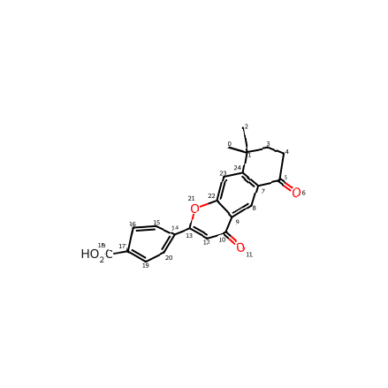 CC1(C)CCC(=O)c2cc3c(=O)cc(-c4ccc(C(=O)O)cc4)oc3cc21